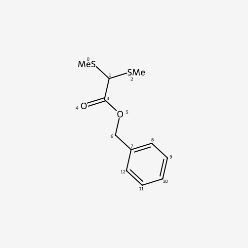 CSC(SC)C(=O)OCc1ccccc1